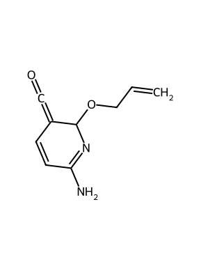 C=CCOC1N=C(N)C=CC1=C=O